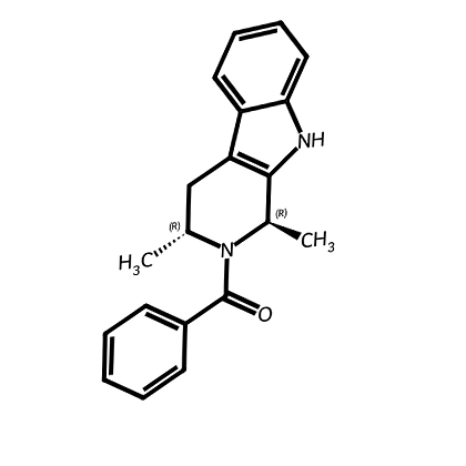 C[C@@H]1Cc2c([nH]c3ccccc23)[C@@H](C)N1C(=O)c1ccccc1